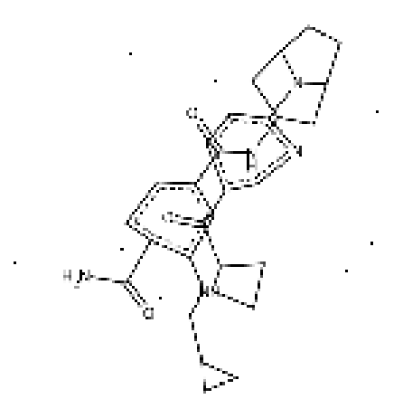 NC(=O)c1ccc(C(=O)NC2CC3CCC(C2)N3c2ccc(C(=O)C3CCC3)cn2)cc1NCC1CC1